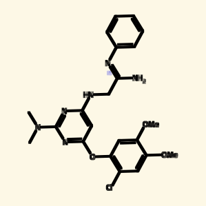 COc1cc(Cl)c(Oc2cc(NC/C(N)=N/c3ccccc3)nc(N(C)C)n2)cc1OC